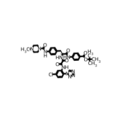 CN1CCN(C(=O)Nc2ccc(C[C@H](NC(=O)C(=O)Nc3cc(Cl)ccc3-n3cnnn3)C(=O)Nc3ccc(C(=O)OC(C)(C)C)cc3)cc2)CC1